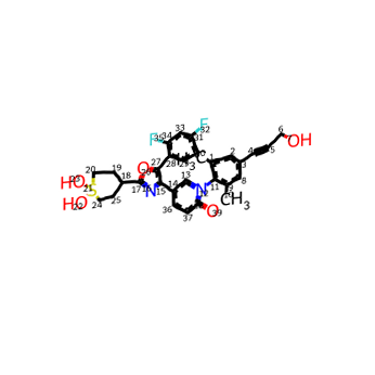 Cc1cc(C#CCO)cc(C)c1-n1cc(-c2nc(C3CCS(O)(O)CC3)oc2-c2ccc(F)cc2F)ccc1=O